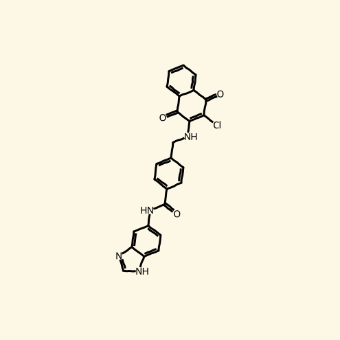 O=C(Nc1ccc2[nH]cnc2c1)c1ccc(CNC2=C(Cl)C(=O)c3ccccc3C2=O)cc1